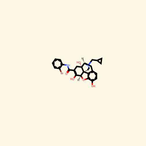 O=C(Nc1ccccc1Br)C1=C(O)[C@@H]2Oc3c(O)ccc4c3[C@@]23CCN(CC2CC2)[C@H](C4)[C@]3(O)C1